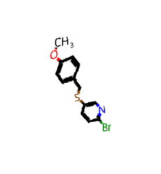 COc1ccc(CSc2ccc(Br)nc2)cc1